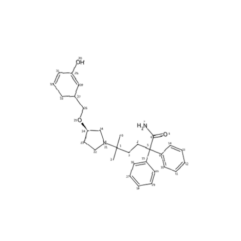 CC(C)(CCC(C(N)=O)(c1ccccc1)c1ccccc1)N1CC[C@@H](OCC2C=C(O)C=CC2)C1